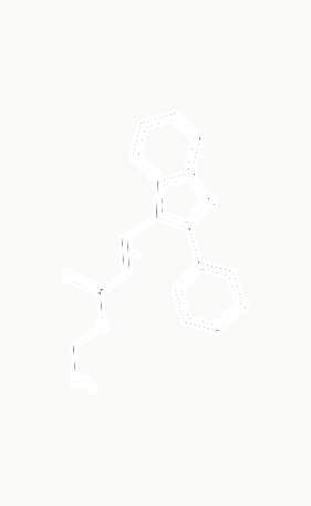 CCOC(=O)/C=C/c1c(-c2cccnc2)nn2ccccc12